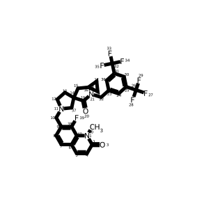 Cn1c(=O)ccc2ccc(CN3CCC(CC4CC4)(C(=O)NCc4cc(C(F)(F)F)cc(C(F)(F)F)c4)C3)c(F)c21